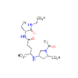 CCC(C)C(=O)N1CC(NC(CCC(=O)NC(CC(C)C)C(=O)NCC(=O)O)C(=O)O)CC1C(=O)O